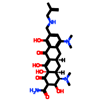 C=C(C)CNCc1cc(N(C)C)c2c(c1O)C(=O)C1=C(O)[C@]3(O)C(=O)C(C(N)=O)C(O)[C@H](N(C)C)[C@@H]3C[C@@H]1C2